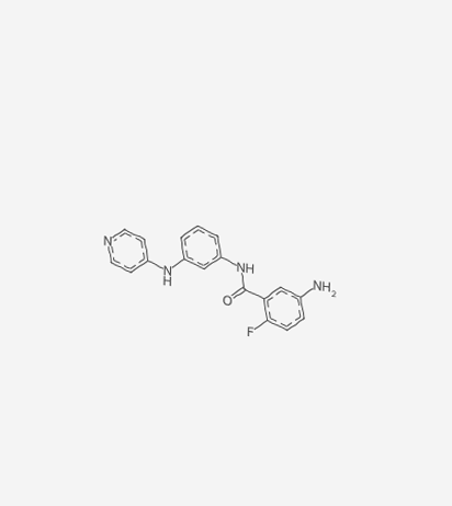 Nc1ccc(F)c(C(=O)Nc2cccc(Nc3ccncc3)c2)c1